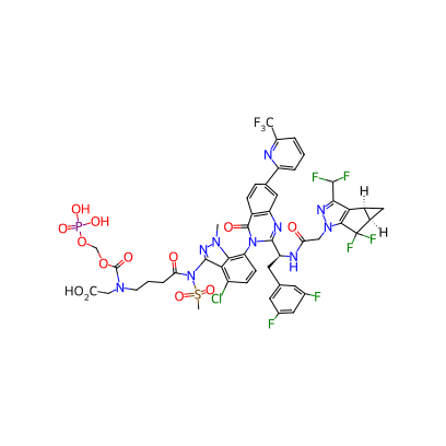 Cn1nc(N(C(=O)CCCN(CC(=O)O)C(=O)OCOP(=O)(O)O)S(C)(=O)=O)c2c(Cl)ccc(-n3c([C@H](Cc4cc(F)cc(F)c4)NC(=O)Cn4nc(C(F)F)c5c4C(F)(F)[C@@H]4C[C@H]54)nc4cc(-c5cccc(C(F)(F)F)n5)ccc4c3=O)c21